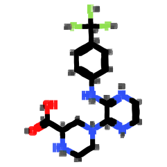 O=C(O)C1CN(c2nccnc2Nc2ccc(C(F)(F)F)cc2)CCN1